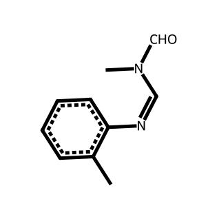 Cc1ccccc1/N=C\N(C)C=O